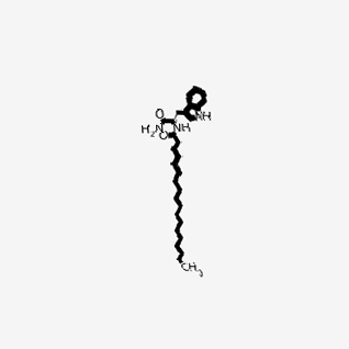 CCCCCCCCCCCCCCCCCC(=O)N[C@@H](Cc1c[nH]c2ccccc12)C(N)=O